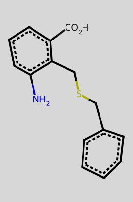 Nc1cccc(C(=O)O)c1CSCc1ccccc1